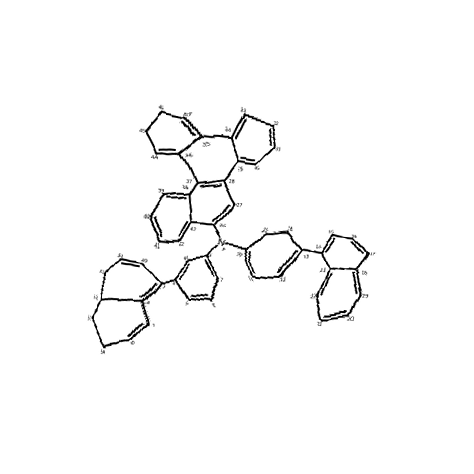 C1=CC2=C(c3cccc(N(C4=CC=C(c5cccc6ccccc56)CC4)c4cc5c6ccccc6c6c(c5c5ccccc45)=CCCC=6)c3)C=CCC2CC1